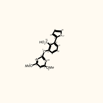 COc1cc(OC)nc(Oc2cccc(-c3cccs3)c2C(=O)O)n1